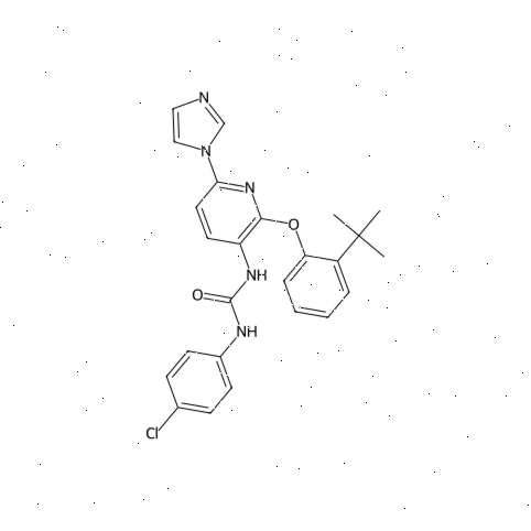 CC(C)(C)c1ccccc1Oc1nc(-n2ccnc2)ccc1NC(=O)Nc1ccc(Cl)cc1